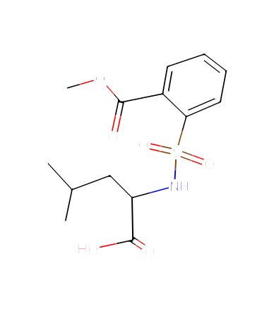 COC(=O)c1ccccc1S(=O)(=O)NC(CC(C)C)C(=O)O